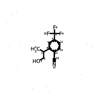 [CH2]C(CO)c1cc(C(F)(F)F)ccc1C#N